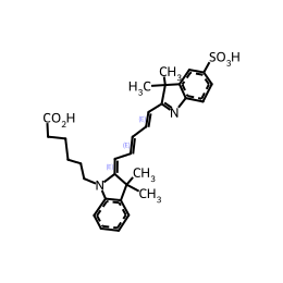 CC1(C)C(/C=C/C=C/C=C2/N(CCCCCC(=O)O)c3ccccc3C2(C)C)=Nc2ccc(S(=O)(=O)O)cc21